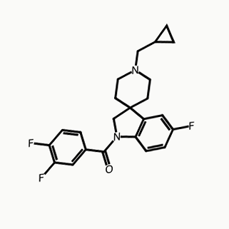 O=C(c1ccc(F)c(F)c1)N1CC2(CCN(CC3CC3)CC2)c2cc(F)ccc21